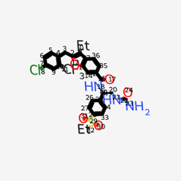 CCc1c(Cc2ccc(Cl)cc2C(F)(F)F)oc2cc(C(=O)N[C@@H](CNC(N)=O)c3ccc(S(=O)(=O)CC)cc3)ccc12